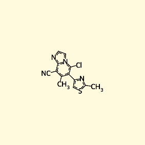 Cc1nc(-c2c(C)c(C#N)c3nccn3c2Cl)cs1